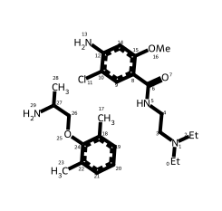 CCN(CC)CCNC(=O)c1cc(Cl)c(N)cc1OC.Cc1cccc(C)c1OCC(C)N